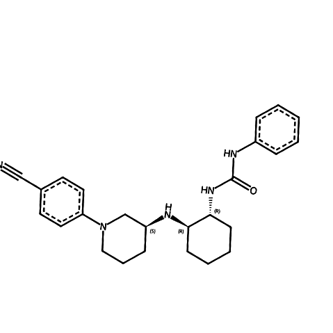 N#Cc1ccc(N2CCC[C@H](N[C@@H]3CCCC[C@H]3NC(=O)Nc3ccccc3)C2)cc1